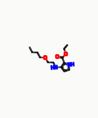 CCCCOCCNc1cc[nH]c1C(=O)OCC